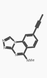 CC#Cc1ccc2c(NC)nc3nncn3c2c1